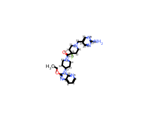 CCOc1nc2cccnc2n1C1CCN(C(=O)C2(F)CCN(Cc3cnc(N)nc3)CC2)CC1